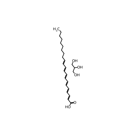 CCCCCCCCCC=CC=CC=CC=CC=CC=CC(=O)O.OCC(O)CO